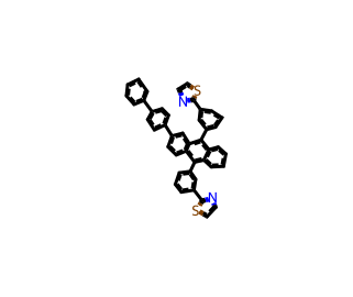 c1ccc(-c2ccc(-c3ccc4c(-c5cccc(-c6nccs6)c5)c5ccccc5c(-c5cccc(-c6nccs6)c5)c4c3)cc2)cc1